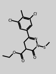 CCOC(=O)C1CC(c2cc(Cl)c(C)c(Cl)c2)=NN(SC)C1=O